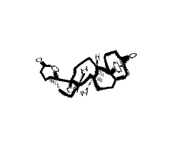 CC12CCC(=O)C=C1CC[C@@H]1[C@@H]2CCC2(C)[C@H]1CC[C@@]21CCC(=O)O1